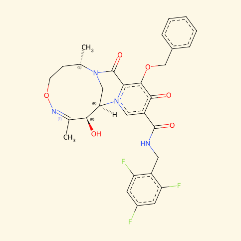 C/C1=N/OCC[C@H](C)N2C[C@H]([C@H]1O)n1cc(C(=O)NCc3c(F)cc(F)cc3F)c(=O)c(OCc3ccccc3)c1C2=O